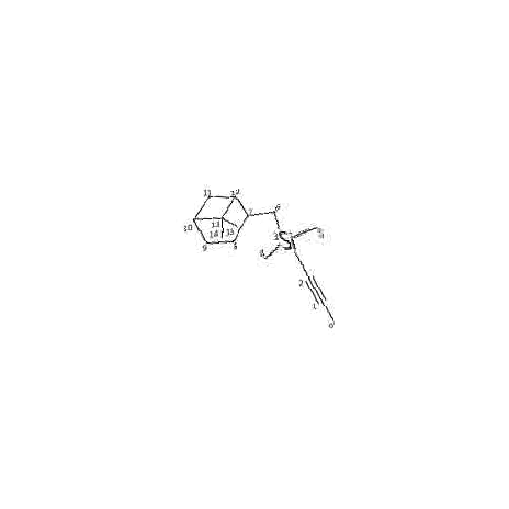 CC#C[Si](C)(C)CC1CCC2CC1C2(C)C